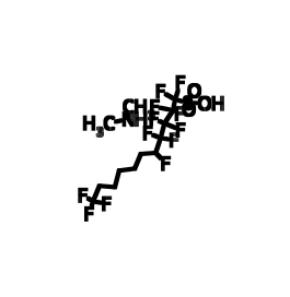 CNC.O=S(=O)(O)C(F)(F)C(F)(F)C(F)(F)C(F)(F)C(F)CCCCCC(F)(F)F